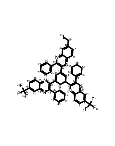 FC(F)(F)c1ccc2nc(C3C=C(c4nc5ccc(CI)cc5nc4-c4ccccc4)C=C(c4nc5ccc(C(F)(F)F)cc5nc4-c4ccccc4)C3)c(C3=CCCC=C3)nc2c1